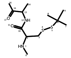 CNC(CSSC(C)(C)C)C(=O)NC(C)C(C)=O